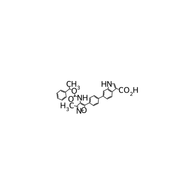 Cc1noc(-c2ccc(-c3ccc4c(C(=O)O)c[nH]c4c3)cc2)c1NC(=O)O[C@H](C)c1ccccc1